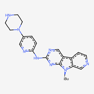 CC[C@H](C)n1c2cnccc2c2cnc(Nc3ccc(N4CCNCC4)cn3)nc21